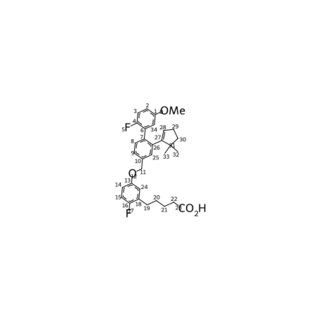 COc1ccc(F)c(-c2ccc(COc3ccc(F)c(CCCCC(=O)O)c3)cc2C2=CCCC2(C)C)c1